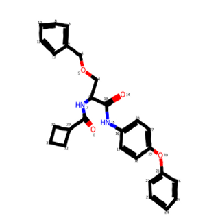 O=C(NC(COCc1ccccc1)C(=O)Nc1ccc(Oc2ccccc2)cc1)C1CCC1